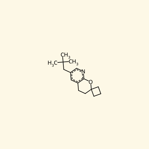 CC(C)(C)Cc1cnc2c(c1)CCC1(CCC1)O2